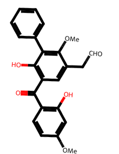 COc1ccc(C(=O)c2cc(CC=O)c(OC)c(-c3ccccc3)c2O)c(O)c1